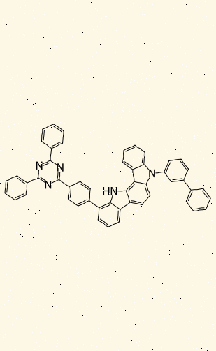 c1ccc(-c2cccc(-n3c4ccccc4c4c5[nH]c6c(-c7ccc(-c8nc(-c9ccccc9)nc(-c9ccccc9)n8)cc7)cccc6c5ccc43)c2)cc1